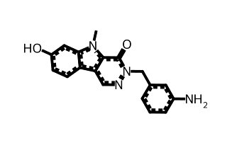 Cn1c2cc(O)ccc2c2cnn(Cc3cccc(N)c3)c(=O)c21